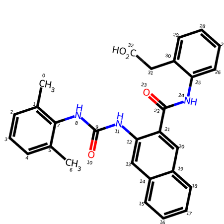 Cc1cccc(C)c1NC(=O)Nc1cc2ccccc2cc1C(=O)Nc1ccccc1CC(=O)O